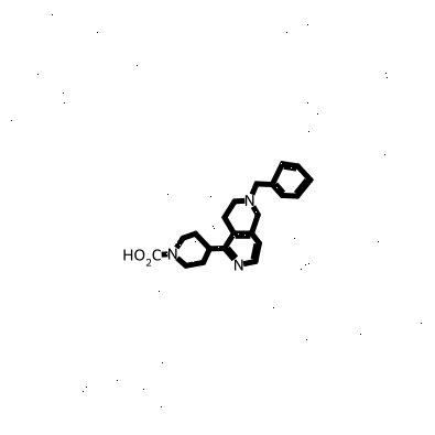 O=C(O)N1CCC(c2nccc3c2CCN(Cc2ccccc2)C3)CC1